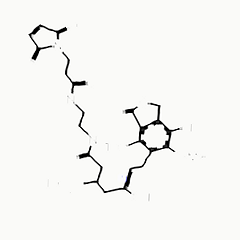 COc1c(C)c2c(c(O)c1C/C=C(\C)CC(CC(=O)NCCNC(=O)CCN1C(=O)C=CC1=O)C(=O)O)C(=O)OC2